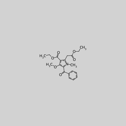 CCOC(=O)Cc1c(C(=O)OCC)c(OC)c(C(=O)c2ccccc2)n1C